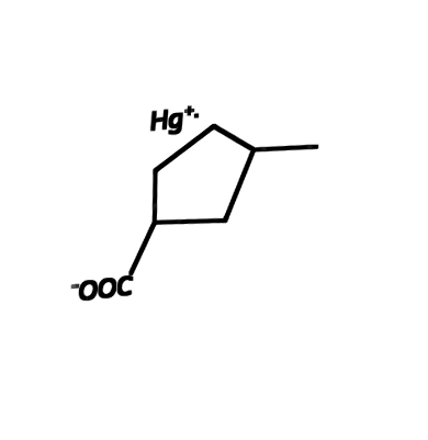 CC1CCC(C(=O)[O-])C1.[Hg+]